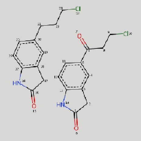 O=C1Cc2cc(C(=O)CCCl)ccc2N1.O=C1Cc2cc(CCCCl)ccc2N1